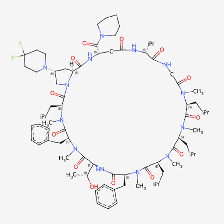 CC(C)C[C@H]1C(=O)N(C)[C@@H](CC(C)C)C(=O)N(C)[C@@H](CC(C)C)C(=O)N(C)[C@@H](Cc2ccccc2)C(=O)N[C@@H]([C@@H](C)O)C(=O)N(C)[C@@H](Cc2ccccc2)C(=O)N(C)[C@@H](CC(C)C)C(=O)N2C[C@H](N3CCC(F)(F)CC3)C[C@H]2C(=O)N[C@H](C(=O)N2CCCCC2)CC(=O)N[C@H](C(C)C)C(=O)NCC(=O)N1C